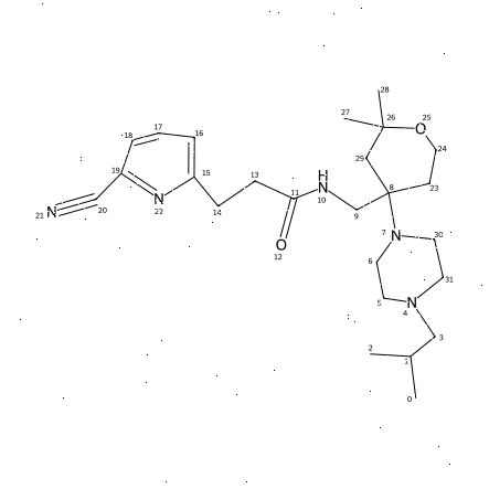 CC(C)CN1CCN(C2(CNC(=O)CCc3cccc(C#N)n3)CCOC(C)(C)C2)CC1